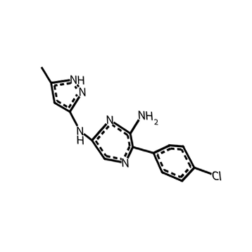 Cc1cc(Nc2cnc(-c3ccc(Cl)cc3)c(N)n2)n[nH]1